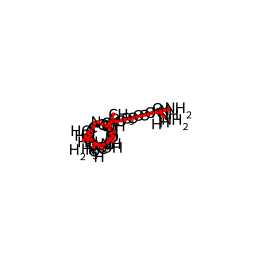 CCCC[C@H](NC(=O)CCOCCOCCOCCOCCOCCOCCNC(=O)C(CNCCN)CNCCN)C(=O)N[C@H]1CSCc2cncc(c2)CSC[C@@H](C(=O)O)NC(=O)[C@H](Cc2ccccc2)NC(=O)[C@H](CCC(N)=O)NC(=O)[C@H]([C@@H](C)O)NC(=O)[C@@H]2CCCN2C(=O)[C@@H]2CCCN2C1=O